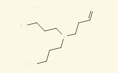 Br.C=CC[CH2][Sn]([CH2]CCC)[CH2]CCC